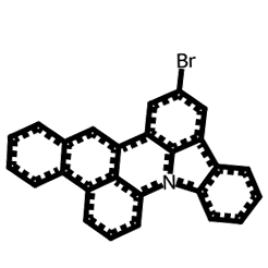 Brc1cc2c3cc4ccccc4c4cccc(c43)n3c4ccccc4c(c1)c23